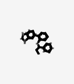 CCC(Sc1[c]cccc1-c1ccc2c(c1)OCO2)c1ccccc1